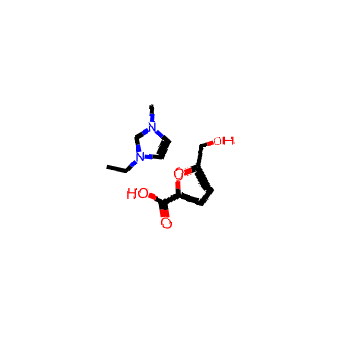 CCN1C=CN(C)C1.O=C(O)c1ccc(CO)o1